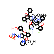 COCCN1C[C@H](C(=O)c2ccccc2)[C@H](c2cccc(F)c2C)C[C@]1(C(=O)[C@]1(C2CCCNC2)C[C@@H](c2cccc(F)c2C)[C@@H](C(=O)c2ccccc2)CN1CCOC)C1CCCNC1.Cc1c(F)cccc1[C@@H]1[C@@H](C(=O)c2cccc(O)c2)CN(CCN(C)S(C)(=O)=O)C[C@H]1C(=O)N1CCCCC1(C)C(=O)O